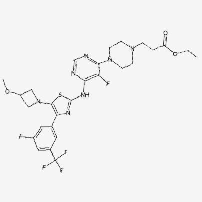 CCOC(=O)CCN1CCN(c2ncnc(Nc3nc(-c4cc(F)cc(C(F)(F)F)c4)c(N4CC(OC)C4)s3)c2F)CC1